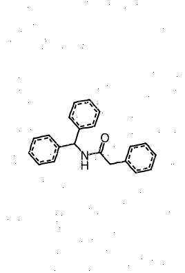 O=C(Cc1ccccc1)NC(c1ccccc1)c1ccccc1